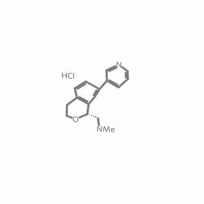 CNC[C@@H]1OCCc2ccc(-c3cccnc3)cc21.Cl